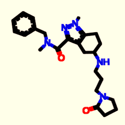 CN(Cc1ccccc1)C(=O)c1nn(C)c2c1CC(NCCCN1CCCC1=O)CC2